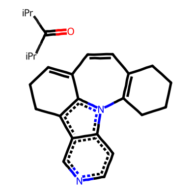 C1=CC2=C(CCCC2)n2c3c(c4cnccc42)CCC=C13.CC(C)C(=O)C(C)C